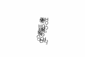 CC1=NN(c2ccc3c(c2)C(C)(C)CC3)C(=O)/C1=N/Nc1cccc(-c2cccc(-c3nnn[nH]3)c2)c1O